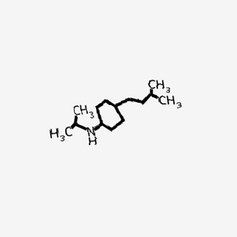 CC(C)CCC1CCC(NC(C)C)CC1